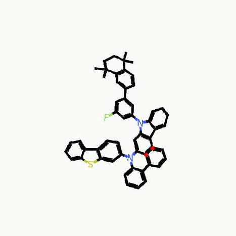 CC1(C)CCC(C)(C)c2cc(-c3cc(F)cc(-n4c5c(c6ccc(N(c7ccc8c(c7)sc7ccccc78)c7ccccc7-c7ccccc7)cc64)=CCCC=5)c3)ccc21